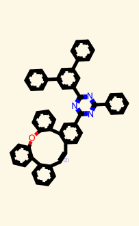 C1=C\c2ccc(-c3nc(-c4ccccc4)nc(-c4cc(-c5ccccc5)cc(-c5ccccc5)c4)n3)cc2-c2ccccc2Oc2ccccc2-c2ccccc2/1